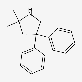 CC1(C)CC(c2ccccc2)(c2ccccc2)CN1